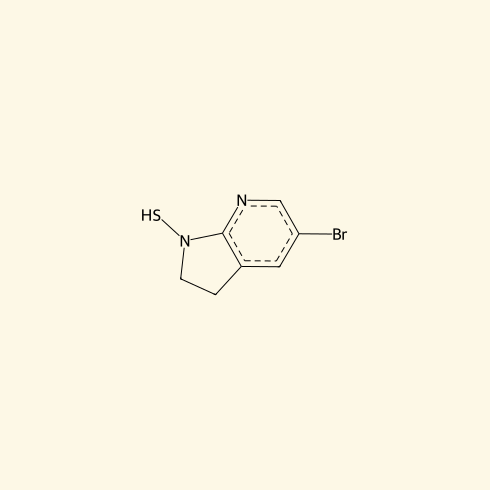 SN1CCc2cc(Br)cnc21